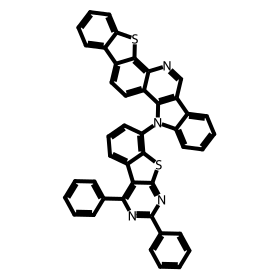 c1ccc(-c2nc(-c3ccccc3)c3c(n2)sc2c(-n4c5ccccc5c5cnc6c(ccc7c8ccccc8sc76)c54)cccc23)cc1